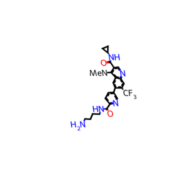 CNc1c(C(=O)NC2CC2)cnc2cc(C(F)(F)F)c(-c3ccc(C(=O)NCCCCN)nc3)cc12